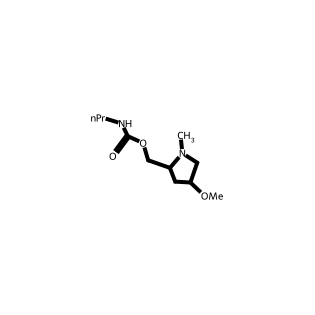 CCCNC(=O)OCC1CC(OC)CN1C